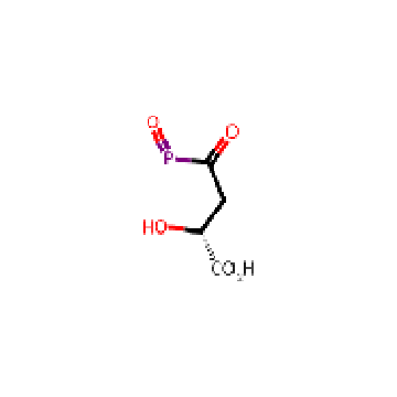 O=PC(=O)C[C@@H](O)C(=O)O